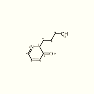 O=C1C=CC=NC1CCCO